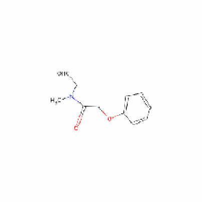 CN(C[C]=O)C(=O)COc1ccccc1